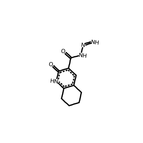 N=NNC(=O)c1cc2c([nH]c1=O)CCCC2